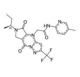 CC[C@H](C)N1Cc2c(n(CC(=O)Nc3ccc(C)cn3)c3cc(C(F)(F)F)nn3c2=O)C1=O